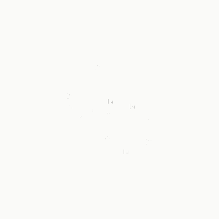 O=C(Oc1c(Br)cc(Br)cc1Br)c1ccccc1COc1c(Br)c(Br)c(Br)c(Br)c1Br